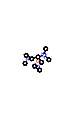 c1ccc(-c2nc(-c3ccccc3)nc(-c3ccc(-c4ccc5c(c4)c4ccccc4n5-c4ccccc4)c4oc5c(-n6c7ccccc7c7ccccc76)cccc5c34)n2)cc1